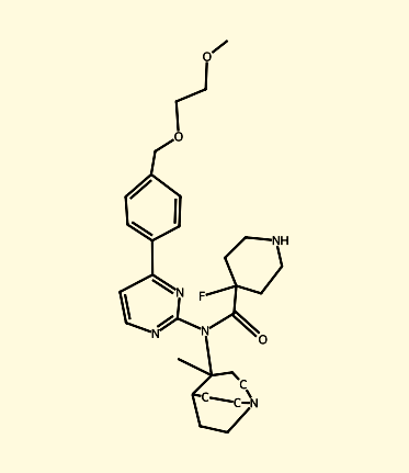 COCCOCc1ccc(-c2ccnc(N(C(=O)C3(F)CCNCC3)C3(C)CCN4CCC3CC4)n2)cc1